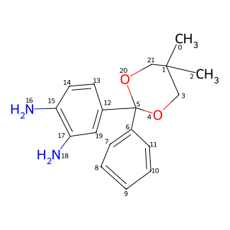 CC1(C)COC(c2ccccc2)(c2ccc(N)c(N)c2)OC1